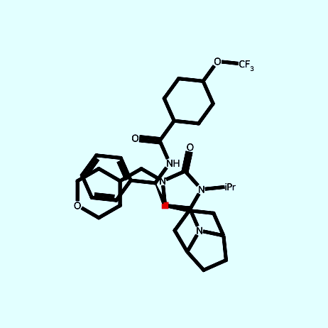 CC(C)N1C(=O)N(CC2CCOCC2)CC12CC1CCC(C2)N1CC[C@H](NC(=O)C1CCC(OC(F)(F)F)CC1)c1ccccc1